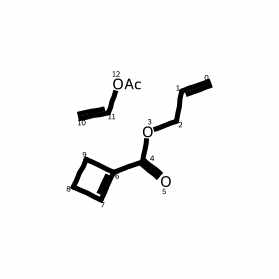 C=CCOC(=O)C1=CCC1.C=COC(C)=O